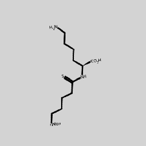 CCCCCCCCCCCCCC(=S)N[C@@H](CCCCN)C(=O)O